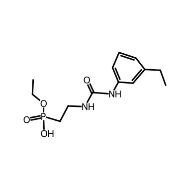 CCOP(=O)(O)CCNC(=O)Nc1cccc(CC)c1